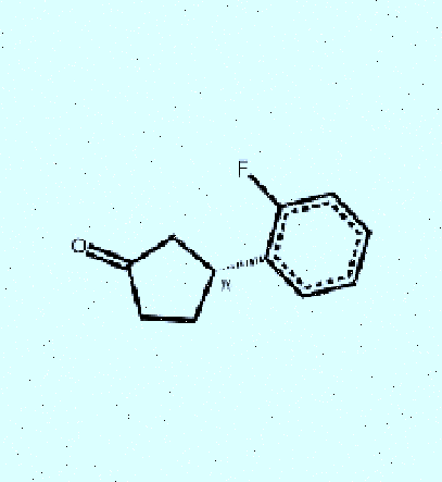 O=C1CC[C@@H](c2ccccc2F)C1